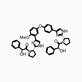 COc1ccc(Oc2ccc(-c3c[nH]c([C@@H]4CCCN4C(=O)[C@@H](O)c4ccccc4)n3)cc2)cc1-c1c[nH]c([C@@H]2CCCN2C(=O)[C@@H](O)c2ccccc2)n1